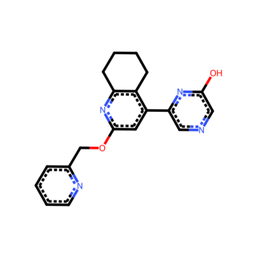 Oc1cncc(-c2cc(OCc3ccccn3)nc3c2CCCC3)n1